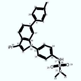 Cc1ccc(-c2ccc3c(C(C)C)cn(-c4ccc(NS(=O)(=O)N(C)C)cc4)c3c2)cc1